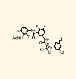 CC(=O)Nc1c(F)ccc(NC(=O)c2cc(NC(=O)[C@H]3[C@H](c4cc(Cl)cc(Cl)c4)C3(Cl)Cl)cc(F)c2F)c1F